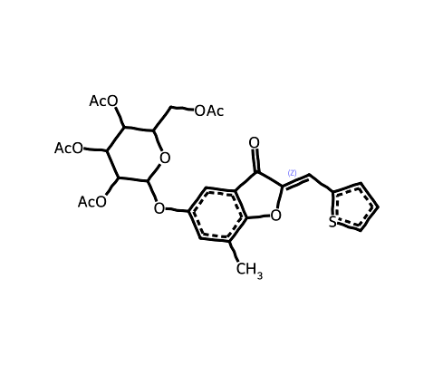 CC(=O)OCC1OC(Oc2cc(C)c3c(c2)C(=O)/C(=C/c2cccs2)O3)C(OC(C)=O)C(OC(C)=O)C1OC(C)=O